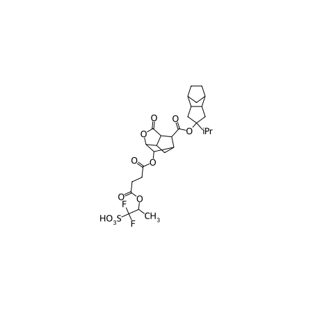 CC(C)C1(OC(=O)C2C3CC4C(OC(=O)C42)C3OC(=O)CCC(=O)OC(C)C(F)(F)S(=O)(=O)O)CC2C3CCC(C3)C2C1